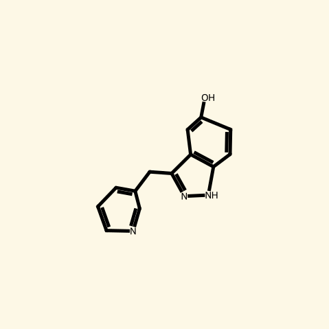 Oc1ccc2[nH]nc(Cc3cccnc3)c2c1